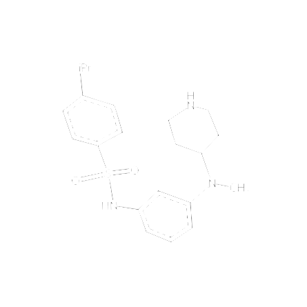 CC(C)c1ccc(S(=O)(=O)Nc2cccc(N(C)C3CCNCC3)c2)cc1